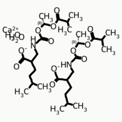 CC(C)CCC(CNC(=O)O[C@H](C)OC(=O)C(C)C)C(=O)[O-].CC(C)CCC(CNC(=O)O[C@H](C)OC(=O)C(C)C)C(=O)[O-].O.O.[Ca+2]